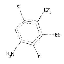 CCc1c(F)c(N)cc(F)c1C(F)(F)F